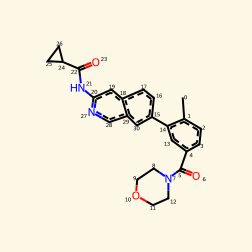 Cc1ccc(C(=O)N2CCOCC2)cc1-c1ccc2cc(NC(=O)C3CC3)ncc2c1